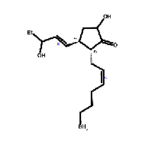 BCCC/C=C\C[C@H]1C(=O)C(O)C[C@@H]1/C=C/C(O)CC